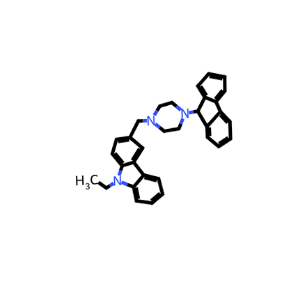 CCn1c2ccccc2c2cc(CN3CCN(C4c5ccccc5-c5ccccc54)CC3)ccc21